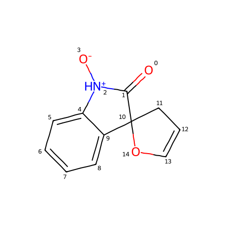 O=C1[NH+]([O-])c2ccccc2C12CC=CO2